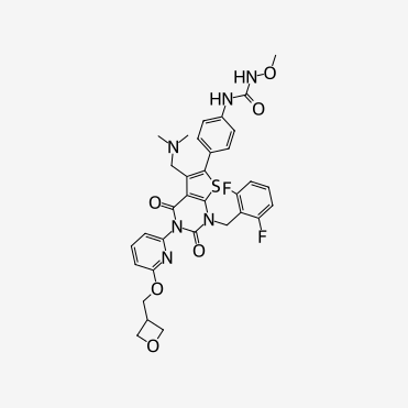 CONC(=O)Nc1ccc(-c2sc3c(c2CN(C)C)c(=O)n(-c2cccc(OCC4COC4)n2)c(=O)n3Cc2c(F)cccc2F)cc1